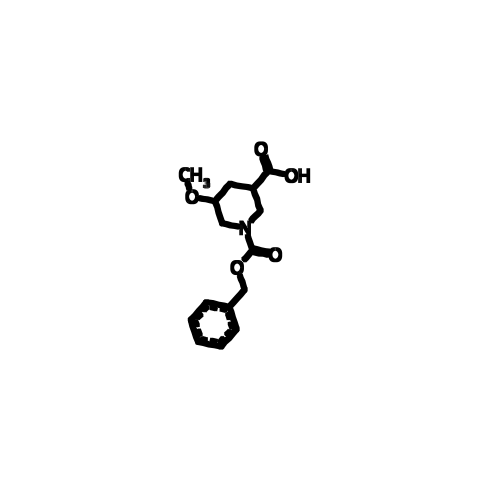 COC1CC(C(=O)O)CN(C(=O)OCc2ccccc2)C1